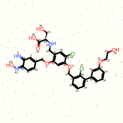 N=C1C=C(COc2cc(OCc3cccc(-c4cccc(OCCO)c4)c3Cl)c(Cl)cc2CN[C@H](CO)C(=O)O)C=C/C1=N/O